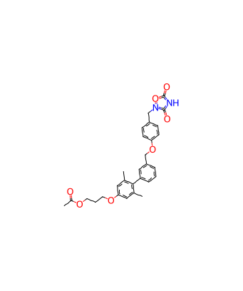 CC(=O)OCCCOc1cc(C)c(-c2cccc(COc3ccc(Cn4oc(=O)[nH]c4=O)cc3)c2)c(C)c1